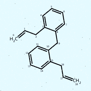 C=CCc1ccccc1[C]c1ccccc1CC=C